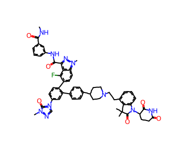 CNC(=O)c1cccc(NC(=O)c2nn(C)c3ccc(-c4ccc(-n5cnn(C)c5=O)cc4-c4ccc(C5CCN(CCc6cccc7c6C(C)(C)C(=O)N7C6CCC(=O)NC6=O)CC5)cc4)c(F)c23)c1